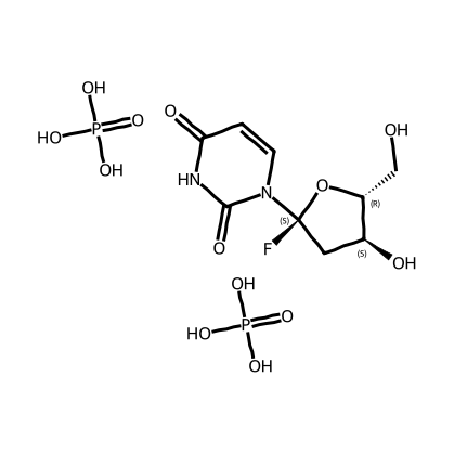 O=P(O)(O)O.O=P(O)(O)O.O=c1ccn([C@@]2(F)C[C@H](O)[C@@H](CO)O2)c(=O)[nH]1